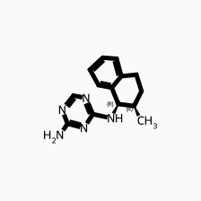 C[C@@H]1CCc2ccccc2[C@@H]1Nc1ncnc(N)n1